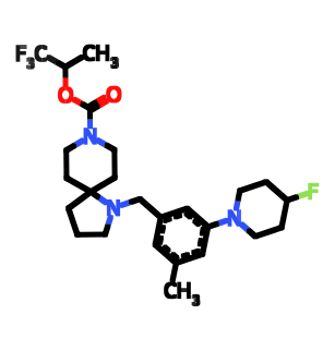 Cc1cc(CN2CCCC23CCN(C(=O)OC(C)C(F)(F)F)CC3)cc(N2CCC(F)CC2)c1